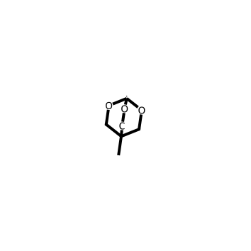 CC12CO[C](OC1)OC2